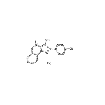 C[n+]1cc2ccccc2c2nn(-c3ccc(C#N)cc3)c(O)c21.[OH-]